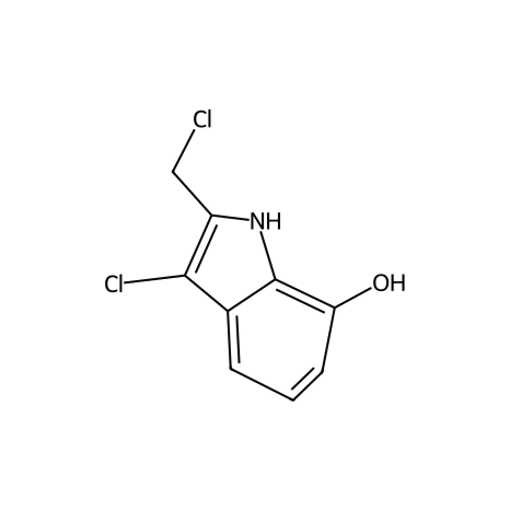 Oc1cccc2c(Cl)c(CCl)[nH]c12